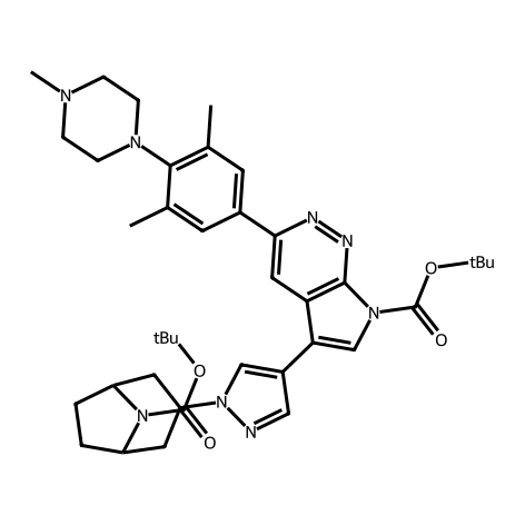 Cc1cc(-c2cc3c(-c4cnn(C5CC6CCC(C5)N6C(=O)OC(C)(C)C)c4)cn(C(=O)OC(C)(C)C)c3nn2)cc(C)c1N1CCN(C)CC1